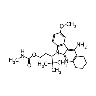 CNC(=O)OCCC(n1c2ccc(OC)cc2c2c(N)c3c(nc21)CCCC3)C(C)(C)C